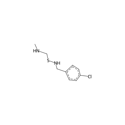 CNCSNCc1ccc(Cl)cc1